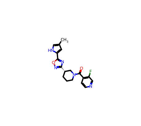 Cc1c[nH]c(-c2nc([C@H]3CCCN(C(=O)c4ccncc4F)C3)no2)c1